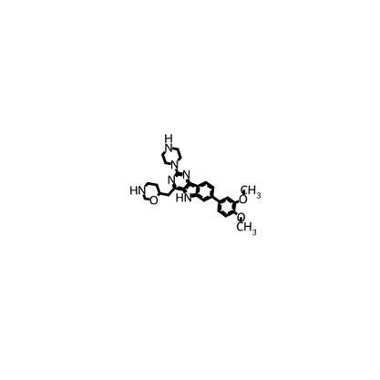 COc1ccc(-c2ccc3c(c2)[nH]c2c(CC4CCNCO4)nc(N4CCNCC4)nc23)cc1OC